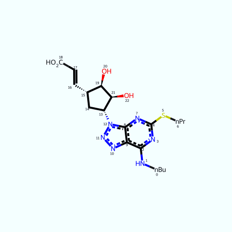 CCCCNc1nc(SCCC)nc2c1nnn2[C@@H]1C[C@H](/C=C/C(=O)O)[C@@H](O)[C@H]1O